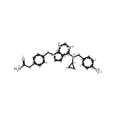 NC(=O)Cc1ccc(Cn2ccc3c(N(Cc4ccc(C(F)(F)F)cc4)C4CC4)ncnc32)cc1